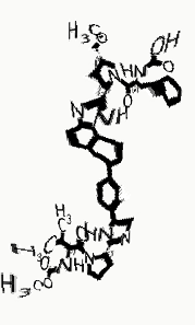 COC[C@H]1C[C@@H](c2nc3ccc4cc(-c5ccc(-c6cnc([C@@H]7CCCN7C(=O)[C@@H](NC(=O)OC)C(C)C)[nH]6)cc5)ccc4c3[nH]2)N(C(=O)[C@H](NC(=O)O)c2ccccc2)C1